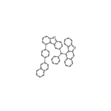 c1ccc(N(c2ccc3oc4cccc(-c5ccc(-c6ccc7ccccc7c6)cc5)c4c3c2)c2c3ccccc3cc3oc4ccccc4c23)cc1